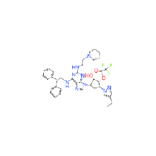 CCc1cnn([C@H]2C[C@@H](n3cnc4c(NCC(c5ccccc5)c5ccccc5)nc(NCCN5CCCCC5)nc43)[C@H](O)[C@@H]2OC(=O)C(F)(F)F)c1